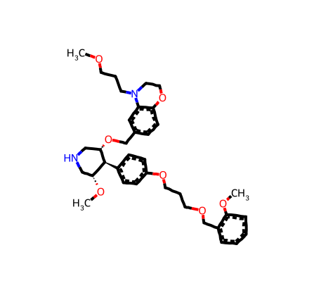 COCCCN1CCOc2ccc(CO[C@H]3CNC[C@@H](OC)[C@@H]3c3ccc(OCCCOCc4ccccc4OC)cc3)cc21